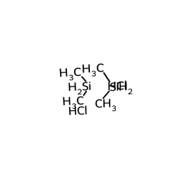 C[SiH2]C.C[SiH2]C.Cl.Cl